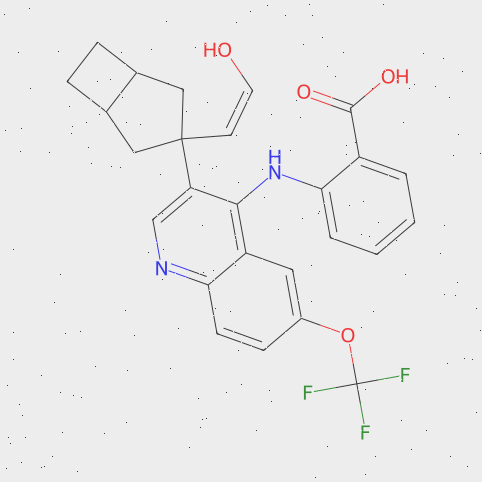 O=C(O)c1ccccc1Nc1c(C2(/C=C\O)CC3CCC3C2)cnc2ccc(OC(F)(F)F)cc12